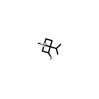 CC(C)C12CC[N@@+]1(C)CC2F